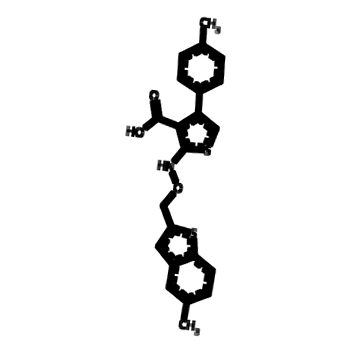 Cc1ccc(-c2csc(NOCc3cc4cc(C)ccc4s3)c2C(=O)O)cc1